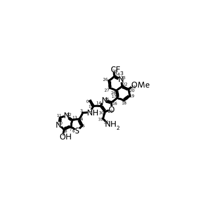 C=C(NCc1csc2c(O)ncnc12)c1nc(-c2ccc(OC)c3nc(C(F)(F)F)ccc23)oc1CN